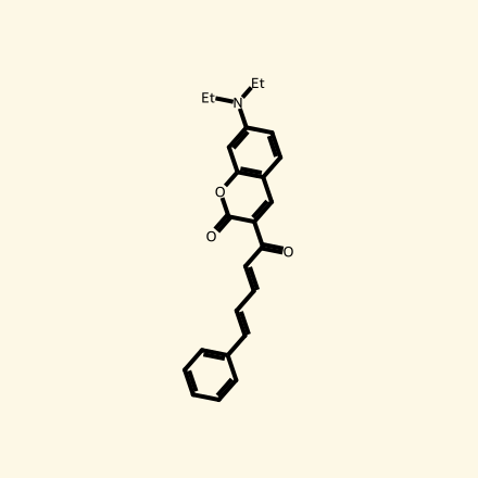 CCN(CC)c1ccc2cc(C(=O)C=C/C=C/c3ccccc3)c(=O)oc2c1